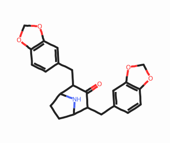 O=C1C(Cc2ccc3c(c2)OCO3)C2CCC(N2)C1Cc1ccc2c(c1)OCO2